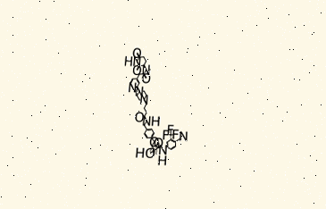 CN(C(=O)Cc1ccnc(N2CCN(CCCC(=O)NCc3ccc(OC[C@](C)(O)C(=O)Nc4ccc(C#N)c(C(F)(F)F)c4)cc3)CC2)c1)C1CCC(=O)NC1=O